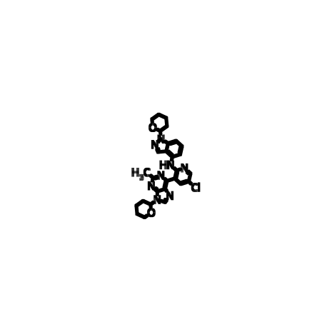 Cc1nc(-c2cc(Cl)cnc2Nc2cccc3c2cnn3C2CCCCO2)c2ncn(C3CCCCO3)c2n1